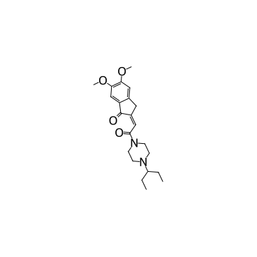 CCC(CC)N1CCN(C(=O)/C=C2/Cc3cc(OC)c(OC)cc3C2=O)CC1